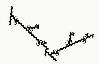 CCCCCC(CCCCC)CCOC(=O)CCCCCCCCC(CCCCCCCCC(=O)OCC(CCC(C)CC(CC)CCC(CCCCC)CCOC(=O)CCCCCCCCC(CCCCCCCCC(=O)OCC(CCC(C)C)C(C)C)C(=O)OCCCN(C)C(C)C)C(C)C)C(=O)OCCCN(C)C